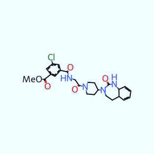 COC(=O)c1cc(Cl)cc(C(=O)NCC(=O)N2CCC(N3CCC4C=CC=CC4NC3=O)CC2)c1